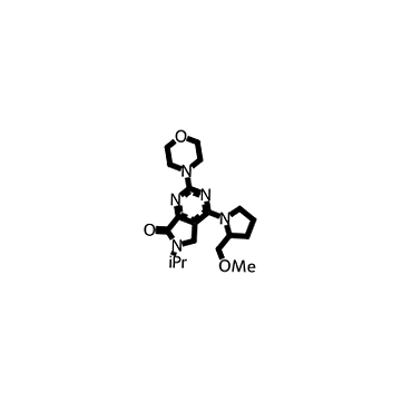 COCC1CCCN1c1nc(N2CCOCC2)nc2c1CN(C(C)C)C2=O